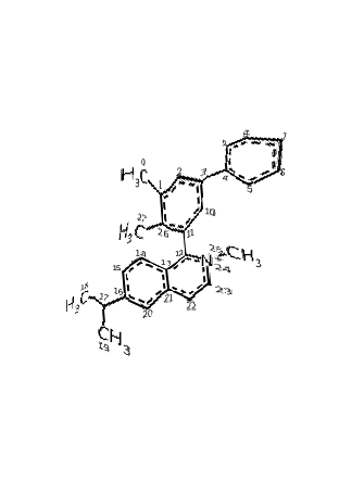 Cc1cc(-c2ccccc2)cc(-c2c3ccc(C(C)C)cc3cc[n+]2C)c1C